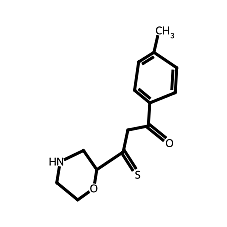 Cc1ccc(C(=O)CC(=S)C2CNCCO2)cc1